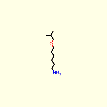 CC(C)COCCCCCCN